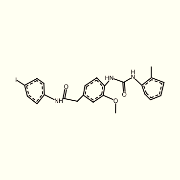 COc1cc(CC(=O)Nc2ccc(I)cc2)ccc1NC(=O)Nc1ccccc1C